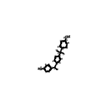 CC(c1ccc(O)cc1)c1ccc(C(C)(C)c2ccc(O)cc2)cc1